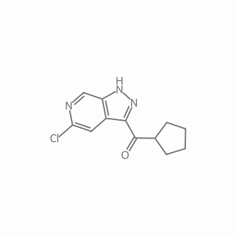 O=C(c1n[nH]c2cnc(Cl)cc12)C1CCCC1